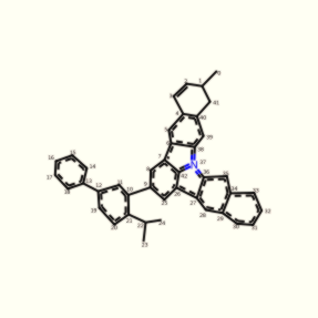 CC1C=Cc2cc3c4cc(-c5cc(-c6ccccc6)ccc5C(C)C)cc5c6cc7ccccc7cc6n(c3cc2C1)c45